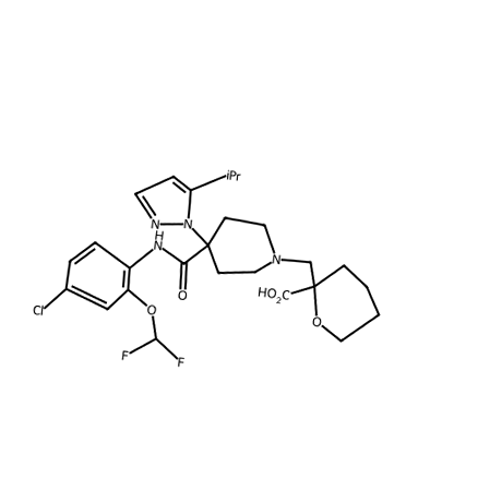 CC(C)c1ccnn1C1(C(=O)Nc2ccc(Cl)cc2OC(F)F)CCN(CC2(C(=O)O)CCCCO2)CC1